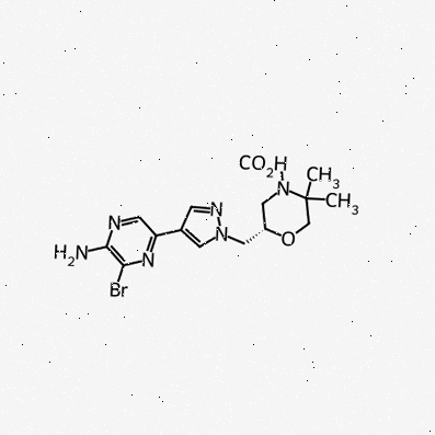 CC1(C)CO[C@H](Cn2cc(-c3cnc(N)c(Br)n3)cn2)CN1C(=O)O